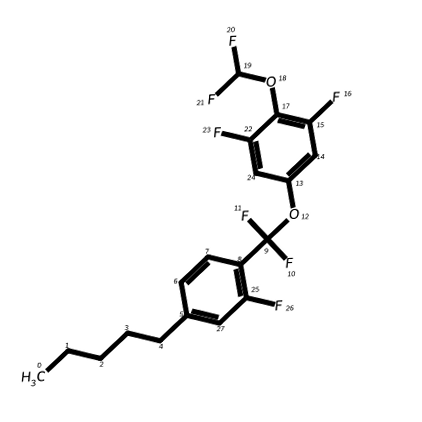 CCCCCc1ccc(C(F)(F)Oc2cc(F)c(OC(F)F)c(F)c2)c(F)c1